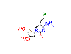 Nc1nc(=O)n([C@@H]2CC(O)[C@H](CO)S2)cc1/C=C/Br